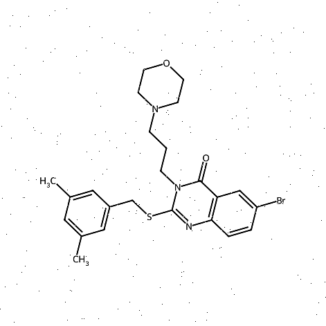 Cc1cc(C)cc(CSc2nc3ccc(Br)cc3c(=O)n2CCCN2CCOCC2)c1